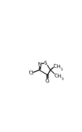 CC1(C)SN=C(Cl)C1=O